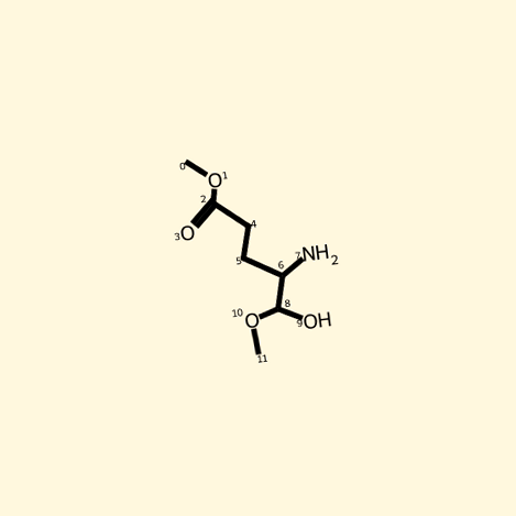 COC(=O)CCC(N)C(O)OC